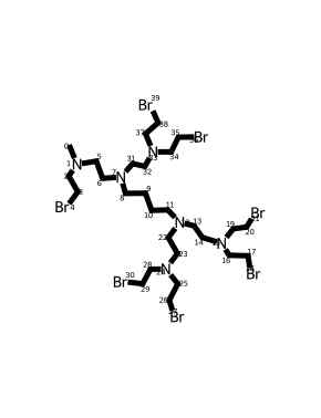 CN(CCBr)CCN(CCCCN(CCN(CCBr)CCBr)CCN(CCBr)CCBr)CCN(CCBr)CCBr